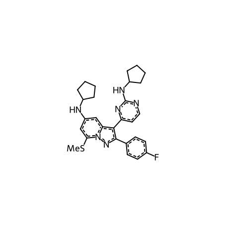 CSc1cc(NC2CCCC2)cc2c(-c3ccnc(NC4CCCC4)n3)c(-c3ccc(F)cc3)nn12